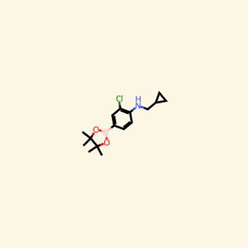 CC1(C)OB(c2ccc(NCC3CC3)c(Cl)c2)OC1(C)C